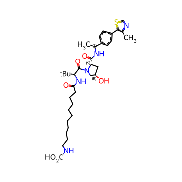 Cc1ncsc1-c1ccc([C@H](C)NC(=O)[C@@H]2C[C@@H](O)CN2C(=O)C(NC(=O)CCCCCCCCCCNC(=O)O)C(C)(C)C)cc1